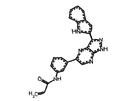 C=CC(=O)Nc1cccc(-c2cnc3[nH]nc(-c4cc5ccccc5[nH]4)c3n2)c1